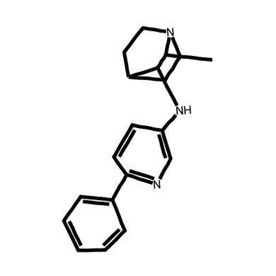 CC1C(Nc2ccc(-c3ccccc3)nc2)C2CCN1CC2